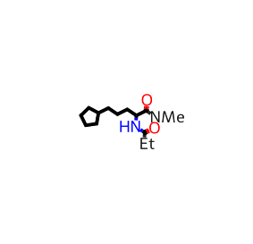 CCC(=O)NC(CCCC1CCCC1)C(=O)NC